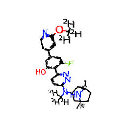 [2H]C([2H])([2H])Oc1cc(-c2cc(O)c(-c3ccc(N(C4C[C@]5(C)CC[C@](C)(C4)N5)C([2H])([2H])[2H])nn3)c(F)c2)ccn1